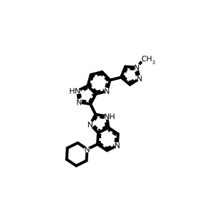 Cn1cc(-c2ccc3[nH]nc(-c4nc5c(N6CCCCC6)cncc5[nH]4)c3n2)cn1